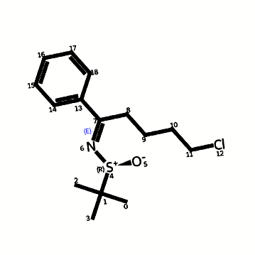 CC(C)(C)[S@+]([O-])/N=C(\CCCCCl)c1ccccc1